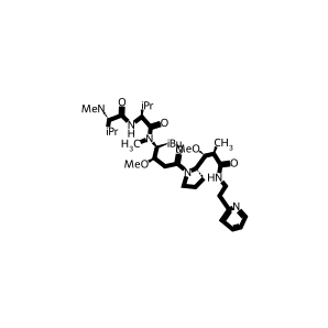 CC[C@H](C)[C@@H]([C@@H](CC(=O)N1CCC[C@H]1[C@H](OC)[C@@H](C)C(=O)NCCc1ccccn1)OC)N(C)C(=O)[C@@H](NC(=O)[C@@H](NC)C(C)C)C(C)C